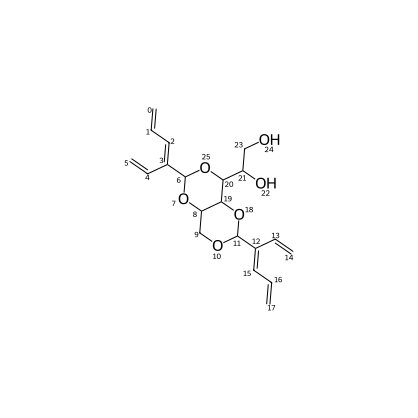 C=C/C=C(\C=C)C1OC2COC(/C(C=C)=C/C=C)OC2C(C(O)CO)O1